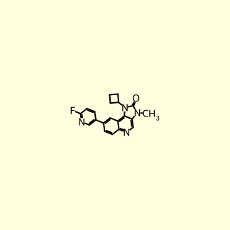 Cn1c(=O)n(C2CCC2)c2c3cc(-c4ccc(F)nc4)ccc3ncc21